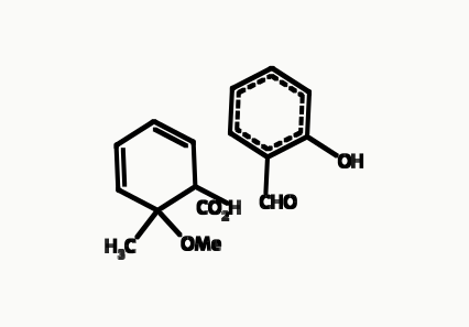 COC1(C)C=CC=CC1C(=O)O.O=Cc1ccccc1O